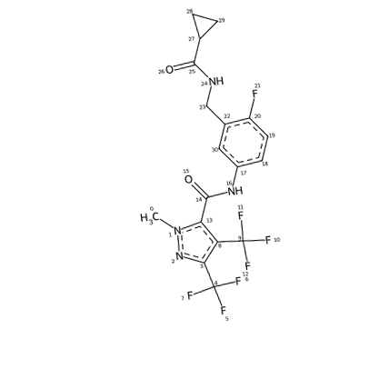 Cn1nc(C(F)(F)F)c(C(F)(F)F)c1C(=O)Nc1ccc(F)c(CNC(=O)C2CC2)c1